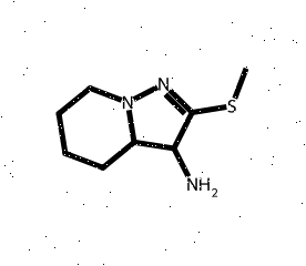 CSC1=NN2CCCCC2C1N